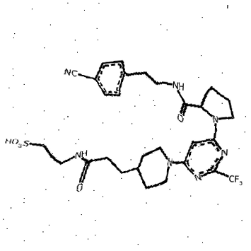 N#Cc1ccc(CCNC(=O)C2CCCN2c2cc(N3CCC(CCC(=O)NCCS(=O)(=O)O)CC3)nc(C(F)(F)F)n2)cc1